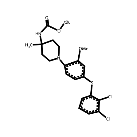 COc1[c]c(Sc2cccc(Cl)c2Cl)ccc1N1CCC(C)(NC(=O)OC(C)(C)C)CC1